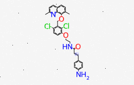 Cc1ccc2ccc(C)c(OCc3c(Cl)ccc(OCCNC(=O)/C=C/c4ccc(N)cc4)c3Cl)c2n1